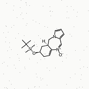 CC(C)(C)[Si](C)(C)O[C@@H]1CC=C2[C@@H](C1)Cn1cccc1C=[N+]2[O-]